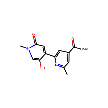 COC(=O)c1cc(C)nc(-c2cc(=O)n(C)cc2O)c1